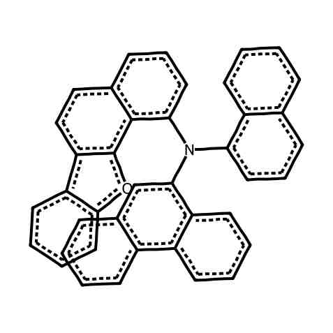 c1ccc2c(N(c3cc4ccccc4c4ccccc34)c3cccc4ccc5c6ccccc6oc5c34)cccc2c1